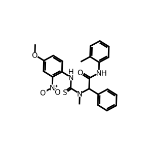 COc1ccc(NC(=S)N(C)C(C(=O)Nc2ccccc2C)c2ccccc2)c([N+](=O)[O-])c1